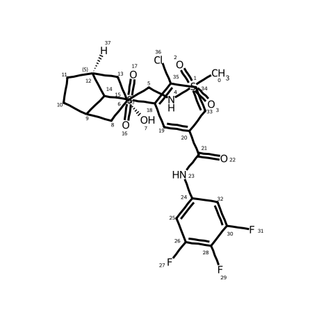 CS(=O)(=O)NC[C@@]1(O)CC2CC[C@@H](C1)C2S(=O)(=O)c1cc(C(=O)Nc2cc(F)c(F)c(F)c2)ccc1Cl